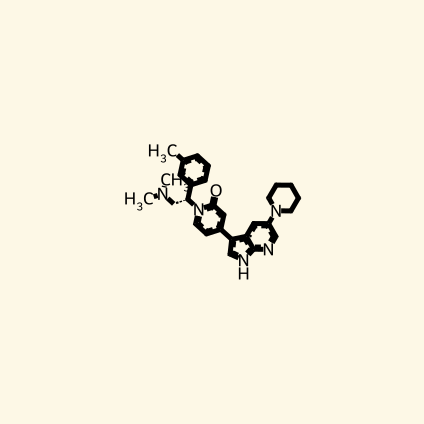 Cc1cccc([C@@H](CN(C)C)n2ccc(-c3c[nH]c4ncc(N5CCCCC5)cc34)cc2=O)c1